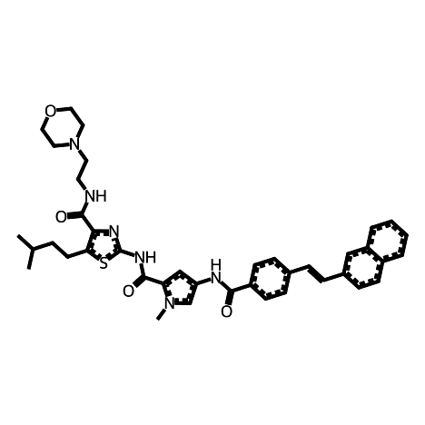 CC(C)CCc1sc(NC(=O)c2cc(NC(=O)c3ccc(C=Cc4ccc5ccccc5c4)cc3)cn2C)nc1C(=O)NCCN1CCOCC1